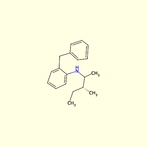 CC[C@@H](C)C(C)Nc1ccccc1Cc1ccccc1